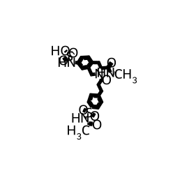 CNC(=O)C1Cc2ccc(NS(=O)(=O)O)cc2CN1C(=O)CCc1ccc(S(=O)(=O)NC(C)=O)cc1